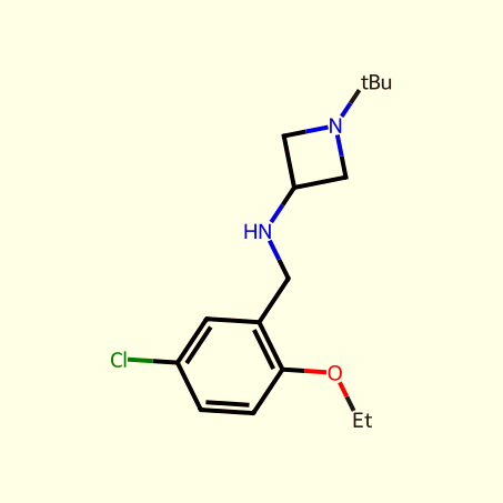 CCOc1ccc(Cl)cc1CNC1CN(C(C)(C)C)C1